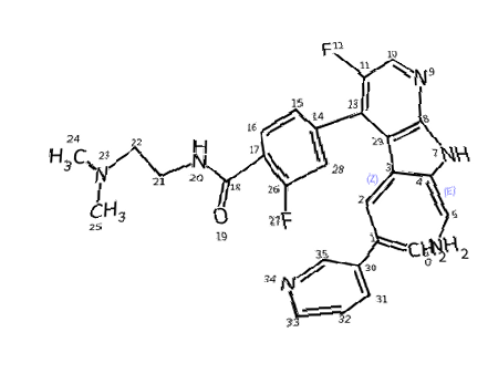 C=C(/C=c1\c(=C/N)[nH]c2ncc(F)c(-c3ccc(C(=O)NCCN(C)C)c(F)c3)c12)c1cccnc1